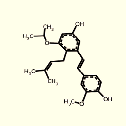 COc1cc(/C=C/c2cc(O)cc(OC(C)C)c2CC=C(C)C)ccc1O